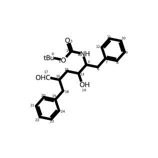 CC(C)(C)OC(=O)NC(Cc1ccccc1)C(O)CC(C=O)Cc1ccccc1